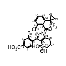 O=C(O)c1ccc(-c2nn(C(=O)c3c(Cl)cccc3C3(C(F)(F)F)CC3)c3c2S(O)(O)CCC3)c(F)c1